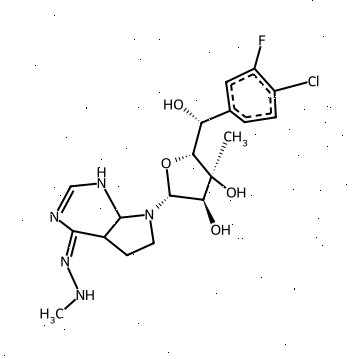 CN/N=C1/N=CNC2C1CCN2[C@@H]1O[C@H]([C@H](O)c2ccc(Cl)c(F)c2)[C@@](C)(O)[C@H]1O